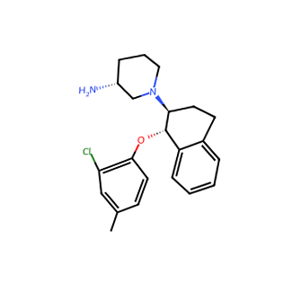 Cc1ccc(O[C@H]2c3ccccc3CC[C@@H]2N2CCC[C@@H](N)C2)c(Cl)c1